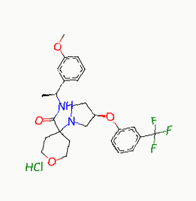 COc1cccc([C@H](C)NC(=O)C2(N3CC[C@@H](Oc4cccc(C(F)(F)F)c4)C3)CCOCC2)c1.Cl